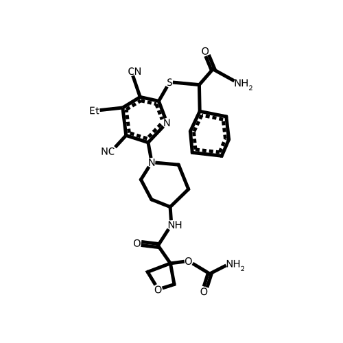 CCc1c(C#N)c(SC(C(N)=O)c2ccccc2)nc(N2CCC(NC(=O)C3(OC(N)=O)COC3)CC2)c1C#N